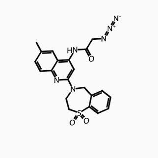 Cc1ccc2nc(N3CCS(=O)(=O)c4ccccc4C3)cc(NC(=O)CN=[N+]=[N-])c2c1